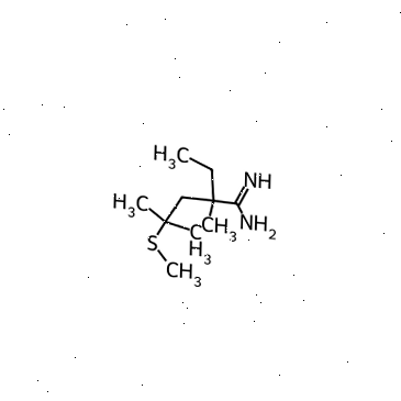 CCC(C)(CC(C)(C)SC)C(=N)N